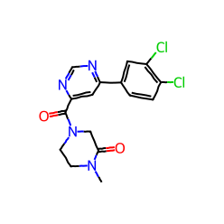 CN1CCN(C(=O)c2cc(-c3ccc(Cl)c(Cl)c3)ncn2)CC1=O